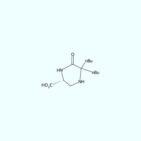 CCCCC1(CCCC)NC[C@H](C(=O)O)NC1=O